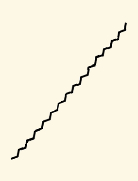 CCCCCCCCCCCCCCCCCCCCCCCCCCCCCCC